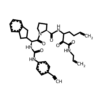 C#Cc1ccc(NC(=O)N[C@H](C(=O)N2CCC[C@H]2C(=O)NC(CCC=C)C(=O)C(=O)NCC=C)C2Cc3ccccc3C2)cc1